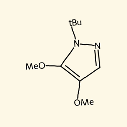 COc1cnn(C(C)(C)C)c1OC